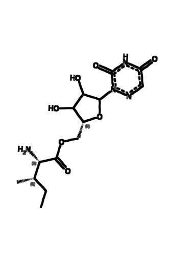 CC[C@H](C)[C@H](N)C(=O)OC[C@H]1OC(n2ncc(=O)[nH]c2=O)C(O)C1O